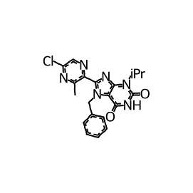 Cc1nc(Cl)cnc1-c1nc2c(c(=O)[nH]c(=O)n2C(C)C)n1Cc1ccccc1